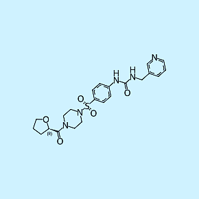 O=C(NCc1cccnc1)Nc1ccc(S(=O)(=O)N2CCN(C(=O)[C@H]3CCCO3)CC2)cc1